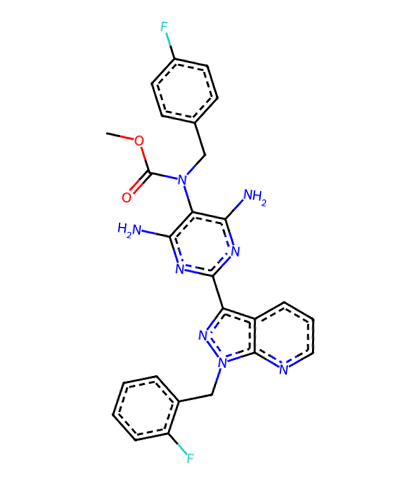 COC(=O)N(Cc1ccc(F)cc1)c1c(N)nc(-c2nn(Cc3ccccc3F)c3ncccc23)nc1N